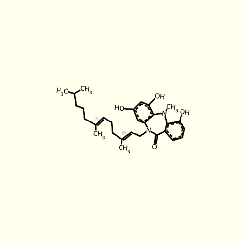 C/C(=C\CN1C(=O)c2cccc(O)c2N(C)c2c(O)cc(O)cc21)CC/C=C(\C)CCCC(C)C